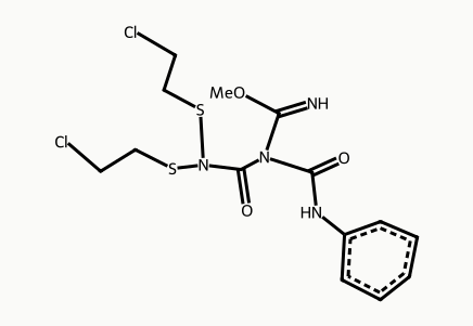 COC(=N)N(C(=O)Nc1ccccc1)C(=O)N(SCCCl)SCCCl